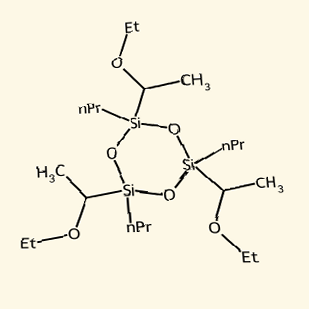 CCC[Si]1(C(C)OCC)O[Si](CCC)(C(C)OCC)O[Si](CCC)(C(C)OCC)O1